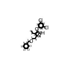 CCc1c(CCOCc2ccccc2)n[nH]c1Oc1cc(Cl)cc(Cl)c1